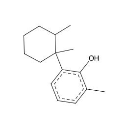 Cc1cccc(C2(C)CCCCC2C)c1O